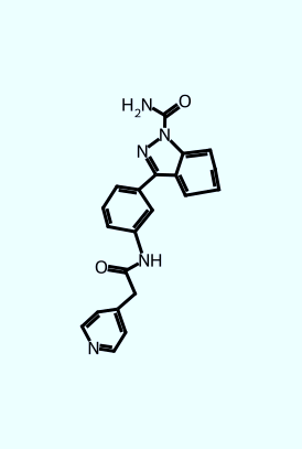 NC(=O)n1nc(-c2cccc(NC(=O)Cc3ccncc3)c2)c2ccccc21